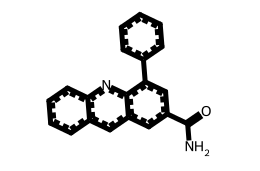 NC(=O)c1cc(-c2ccccc2)c2nc3ccccc3cc2c1